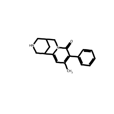 Cc1cc2n(c(=O)c1-c1ccccc1)CC1CNCC2C1